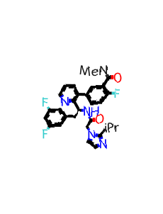 CNC(=O)c1cc(-c2cccnc2[C@H](Cc2cc(F)cc(F)c2)NC(=O)Cn2ccnc2C(C)C)ccc1F